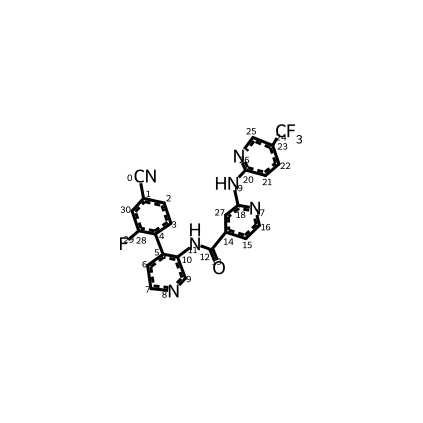 N#Cc1ccc(-c2ccncc2NC(=O)c2ccnc(Nc3ccc(C(F)(F)F)cn3)c2)c(F)c1